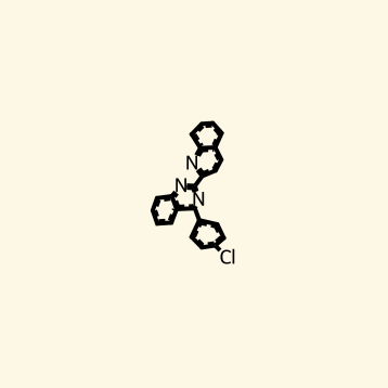 Clc1ccc(-c2nc(-c3ccc4ccccc4n3)nc3ccccc23)cc1